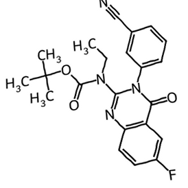 CCN(C(=O)OC(C)(C)C)c1nc2ccc(F)cc2c(=O)n1-c1cccc(C#N)c1